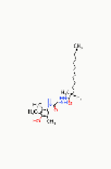 CCCCCCCCCCCCC(C)(C)C(=O)NNCC(=O)Nc1cc(C)c(O)c(C)c1C